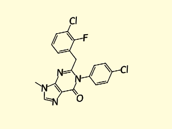 Cn1cnc2c(=O)n(-c3ccc(Cl)cc3)c(Cc3cccc(Cl)c3F)nc21